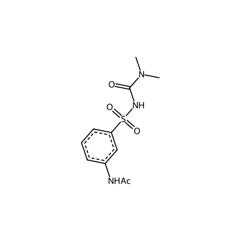 CC(=O)Nc1cccc(S(=O)(=O)NC(=O)N(C)C)c1